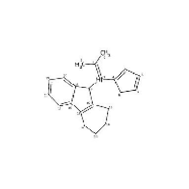 C[C](C)=[Hf]([C]1=CC=CC1)[CH]1C2=C(CCCC2)c2ccccc21